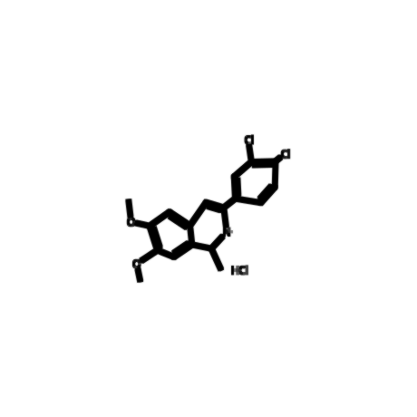 COc1cc2c(cc1OC)C(C)[N]C(c1ccc(Cl)c(Cl)c1)=C2.Cl